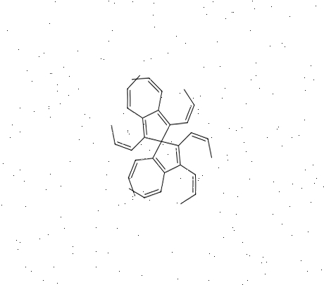 C/C=C\C1=C(/C=C\C)C2(C(/C=C\C)=C1/C=C\C)C(/C=C\C)=C(/C=C\C)C(/C=C\C)=C2/C=C\C